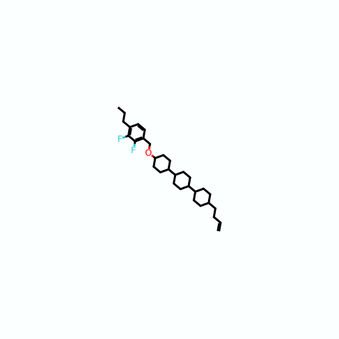 C=CCCC1CCC(C2CCC(C3CCC(OCc4ccc(CCC)c(F)c4F)CC3)CC2)CC1